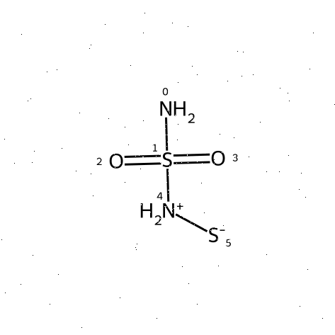 NS(=O)(=O)[NH2+][S-]